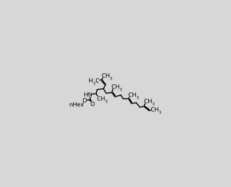 C/C=C(\C)CC/C=C(\C)CC/C=C(\C)CC(C=C(C)C)CC(C)NC(=O)OCCCCCC